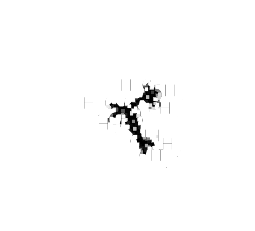 C=CCN(CC=C)CC(Cc1c(C)c2ccc(NC(=O)N(CC=C)CC=C)cc2oc1=O)OC(=O)C=Cc1cc(OC)c(OC)c(OC)c1